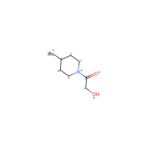 CCC(C)C1CCN(C(=O)CO)CC1